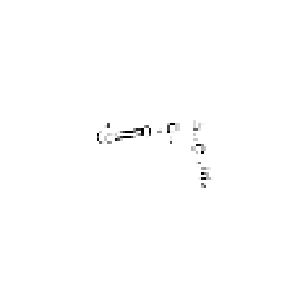 [C].[Li].[O].[O]=[Co].[Si]